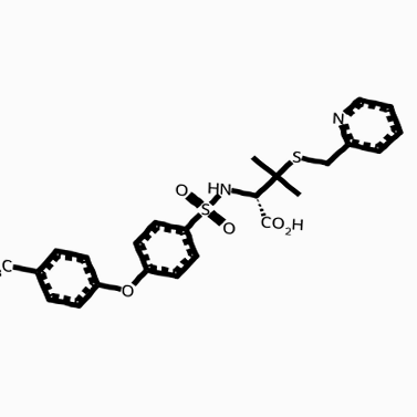 CC(C)(SCc1ccccn1)[C@@H](NS(=O)(=O)c1ccc(Oc2ccc(C(F)(F)F)cc2)cc1)C(=O)O